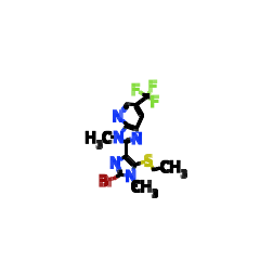 CCSc1c(-c2nc3cc(C(F)(F)F)cnc3n2C)nc(Br)n1C